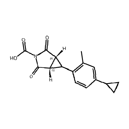 Cc1cc(C2CC2)ccc1C1[C@H]2C(=O)N(C(=O)O)C(=O)[C@@H]12